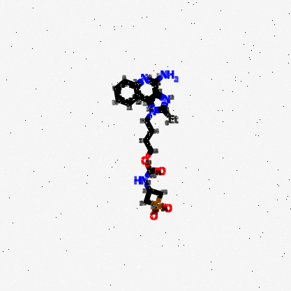 CCc1nc2c(N)nc3ccccc3c2n1CCCCOC(=O)NC1CS(=O)(=O)C1